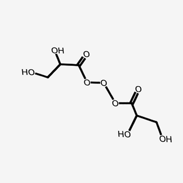 O=C(OOOC(=O)C(O)CO)C(O)CO